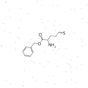 NC(CCC=S)C(=O)OCc1ccccc1